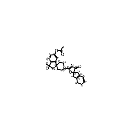 CC(=O)Oc1cnc2c(c1)C1(CCN(C3=NC(=O)C4(CC5=C(CCC=C5)C4)O3)CC1)OC2(C)C